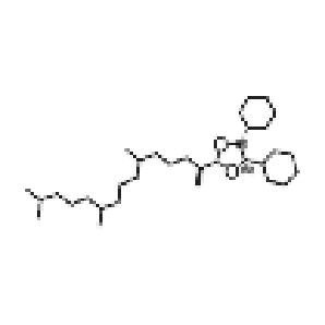 C=C(CCCC(C)CCCC(C)CCCC(C)C)C1O[C@H](C2CCCCC2)[C@@H](C2CCCCC2)O1